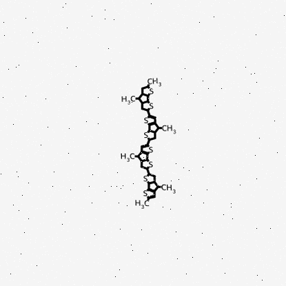 Cc1cc2c(s1)C1SC(C3CC4C(C)c5cc(C6CC7C(C)c8cc(C9CC%10C(C)C%11CC(C)SC%11C%10S9)sc8C7S6)sc5C4S3)CC1C2C